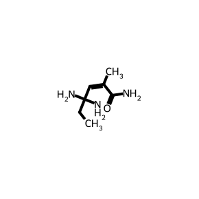 CCC(N)(N)C=C(C)C(N)=O